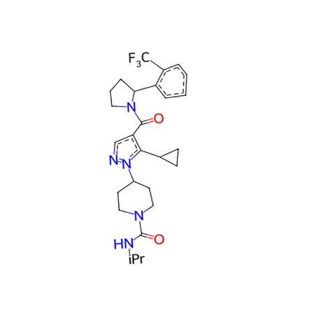 CC(C)NC(=O)N1CCC(n2ncc(C(=O)N3CCCC3c3ccccc3C(F)(F)F)c2C2CC2)CC1